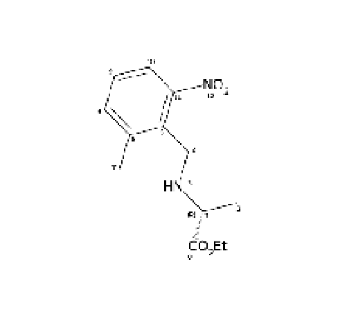 CCOC(=O)[C@@H](C)NCc1c(C)cccc1[N+](=O)[O-]